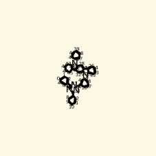 c1ccc(-c2nc(-c3ccccc3)nc(-c3cccc(-n4c5ccccc5c5cc6c(cc54)c4c(n6-c5ccccc5)CCCC4)c3)n2)cc1